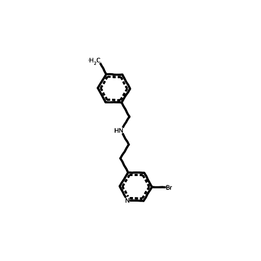 [CH2]c1ccc(CNCCc2cncc(Br)c2)cc1